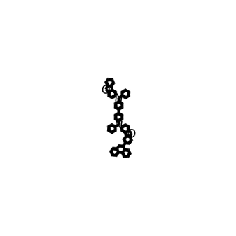 c1ccc(N(c2ccc(-c3ccc(N(c4ccccc4)c4ccc5oc6ccc(-c7cc8ccccc8c8ccccc78)cc6c5c4)cc3)cc2)c2ccc3oc4ccccc4c3c2)cc1